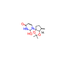 C=C1CC[C@@]2(N3C=CC(=O)NC3O)OC(C)(C)O[C@H]12